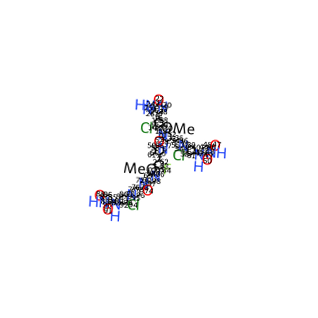 COc1cc(-c2cn(CC3CN(Cc4c(Cl)cc(-c5cn(C)c(=O)c6[nH]ncc56)cc4OC)CCC3C3CCN(c4ccc(NC5CCC(=O)NC5=O)cc4Cl)CC3)c(=O)c(C)c2C)cc(F)c1CN1CCC(N(C)C(=O)C2CCN(c3ccc(NC4CCC(=O)NC4=O)cc3Cl)CC2)CC1